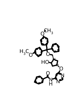 COc1ccc(C(OC[C@H]2C[C@@H](Oc3cc(NC(=O)c4ccccc4)ncn3)CC2O)(c2ccccc2)c2ccc(OC)cc2)cc1